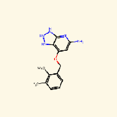 COc1c(COc2cc(N)nc3c2NNN3)cccc1C(F)(F)F